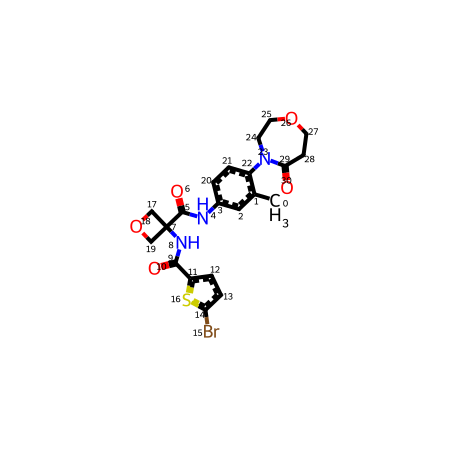 Cc1cc(NC(=O)C2(NC(=O)c3ccc(Br)s3)COC2)ccc1N1CCOCCC1=O